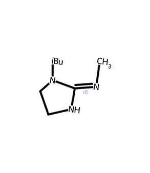 CCC(C)N1CCN/C1=N/C